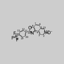 [O-][n+]1ccc2c(ccc3oc(-c4ccc(C(F)(F)F)cc4)nc32)c1